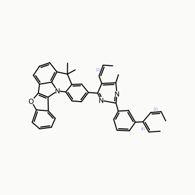 C/C=C\C(=C/C)c1cccc(-c2nc(C)c(/C=C\C)c(-c3ccc4c(c3)C(C)(C)c3cccc5c6oc7ccccc7c6n-4c35)n2)c1